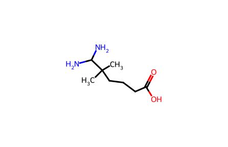 CC(C)(CCCC(=O)O)C(N)N